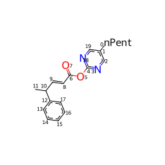 CCCCCc1cnc(OC(=O)/C=C/C(C)c2ccccc2)nc1